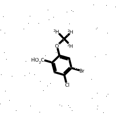 [2H]C([2H])([2H])Oc1cc(Br)c(Cl)cc1C(=O)O